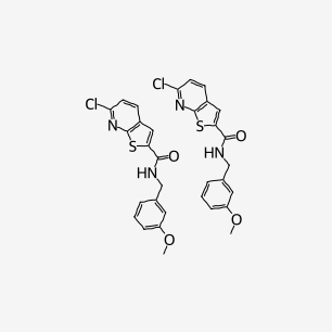 COc1cccc(CNC(=O)c2cc3ccc(Cl)nc3s2)c1.COc1cccc(CNC(=O)c2cc3ccc(Cl)nc3s2)c1